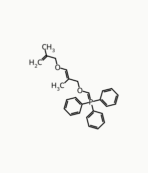 C=C(C)CO/C=C(\C)COC=P(c1ccccc1)(c1ccccc1)c1ccccc1